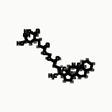 C[C@H](CCC(=O)OCOC(=O)CCC(CP(O)O)C(=O)O)C1CCC2C3CCC4CCCCC4(C)C3CCC21C